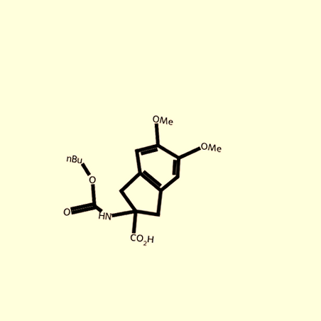 CCCCOC(=O)NC1(C(=O)O)Cc2cc(OC)c(OC)cc2C1